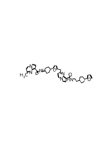 Cc1ccn2ccc(C(=O)NCC3CCC(c4ccc(Cc5ccn6ccc(C(=O)NCCC7CCC(c8ccco8)CC7)c6n5)o4)CC3)c2n1